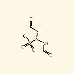 O=CNN(NC=O)S(=O)(=O)Cl